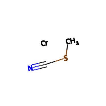 CSC#N.[Cr]